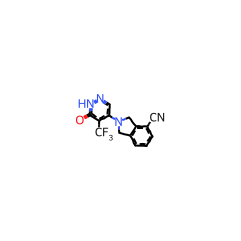 N#Cc1cccc2c1CN(c1cn[nH]c(=O)c1C(F)(F)F)C2